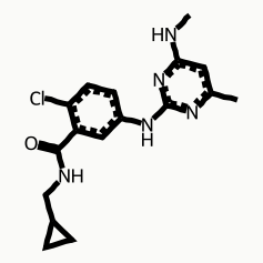 CNc1cc(C)nc(Nc2ccc(Cl)c(C(=O)NCC3CC3)c2)n1